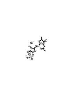 C=C(C)CN1C(=O)C(C)S/C1=N\N=C1/SC(OP(=O)([O-])OC)C(=O)N1C.[Na+]